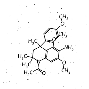 COc1ccc(C2(C)CC(C)(C)N(C(C)=O)c3cc(OC)c(N)c(OC)c32)cc1